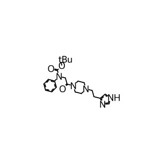 CC(C)(C)OC(=O)N(CC(=O)N1CCN(CCc2c[nH]cn2)CC1)c1ccccc1